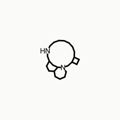 C1CCCNCC2CCC3CCCCN(CC4CCC4CCC1)C3C2